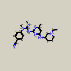 CCN1CCCC(Nc2cc(C)nc(NC(=NC)N(C)c3ccc(C#N)cc3)n2)C1